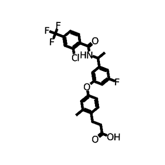 Cc1cc(Oc2cc(F)cc(C(C)NC(=O)c3ccc(C(F)(F)F)cc3Cl)c2)ccc1CCC(=O)O